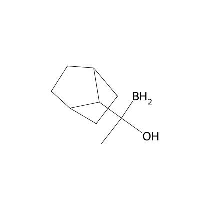 BC(C)(O)C1C2CCC1CC2